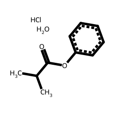 CC(C)C(=O)Oc1ccccc1.Cl.O